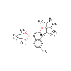 Cc1ccc2c(B3OC(C)(C)C(C)(C)O3)cc(O[Si](C(C)C)(C(C)C)C(C)C)cc2c1